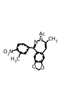 CC(=O)N1N=C(c2ccc([N+](=O)[O-])c(C)c2)c2cc3c(cc2C=C1C)OCO3